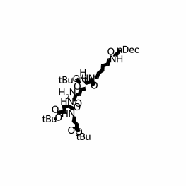 CCCCCCCCCCCC(=O)NCCCCCCNC(=O)[C@H](CCCC(N)C(=O)NC(CCC(=O)OC(C)(C)C)C(=O)NCCCC(=O)OC(C)(C)C)NC(=O)OC(C)(C)C